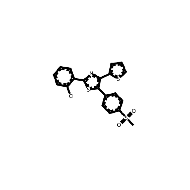 CS(=O)(=O)c1ccc(-c2sc(-c3ccccc3Cl)nc2-c2cccs2)cc1